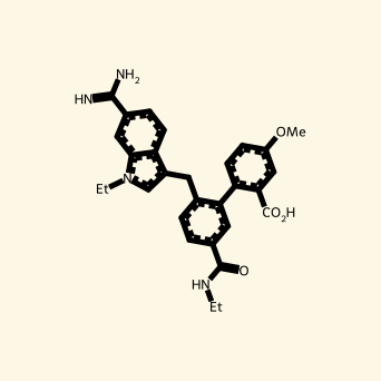 CCNC(=O)c1ccc(Cc2cn(CC)c3cc(C(=N)N)ccc23)c(-c2ccc(OC)cc2C(=O)O)c1